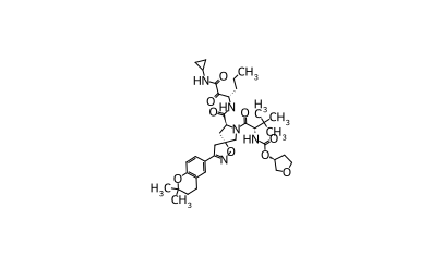 CCC[C@H](NC(=O)[C@@H]1C[C@]2(CC(c3ccc4c(c3)CCC(C)(C)O4)=NO2)CN1C(=O)[C@@H](NC(=O)O[C@H]1CCOC1)C(C)(C)C)C(=O)C(=O)NC1CC1